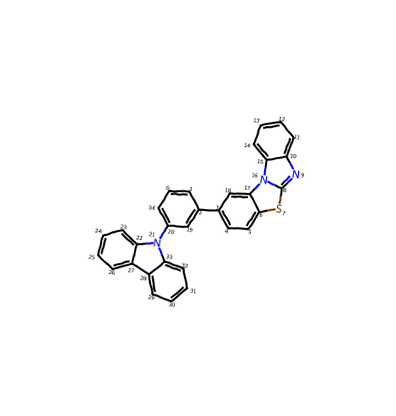 c1cc(-c2ccc3sc4nc5ccccc5n4c3c2)cc(-n2c3ccccc3c3ccccc32)c1